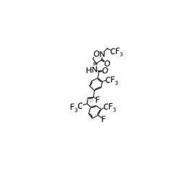 O=C(N[C@@H]1CON(CC(F)(F)F)C1=O)c1ccc(/C(F)=C/C(c2ccc(F)c(C(F)(F)F)c2)C(F)(F)F)cc1C(F)(F)F